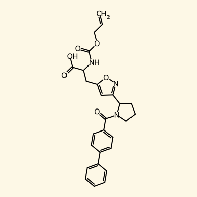 C=CCOC(=O)NC(Cc1cc(C2CCCN2C(=O)c2ccc(-c3ccccc3)cc2)no1)C(=O)O